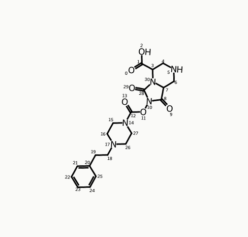 O=C(O)C1CNCC2C(=O)N(OC(=O)N3CCN(CCc4ccccc4)CC3)C(=O)N12